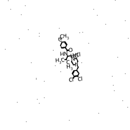 COc1ccc(C(=O)NC(CN2CCN(Cc3ccc(Cl)c(Cl)c3)CC2)C(C)C)cc1.Cl.Cl